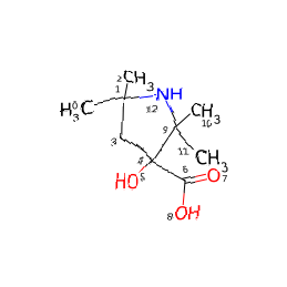 CC1(C)CC(O)(C(=O)O)C(C)(C)N1